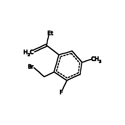 C=C(CC)c1cc(C)cc(F)c1CBr